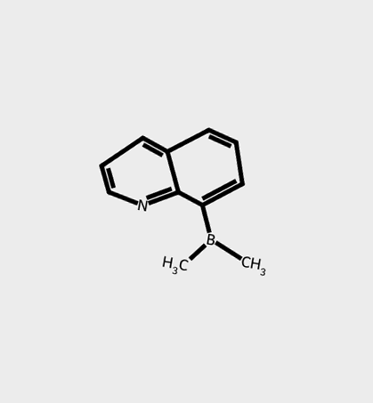 CB(C)c1cccc2cccnc12